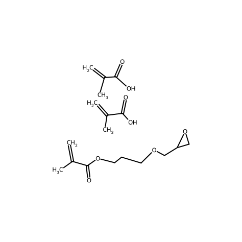 C=C(C)C(=O)O.C=C(C)C(=O)O.C=C(C)C(=O)OCCCOCC1CO1